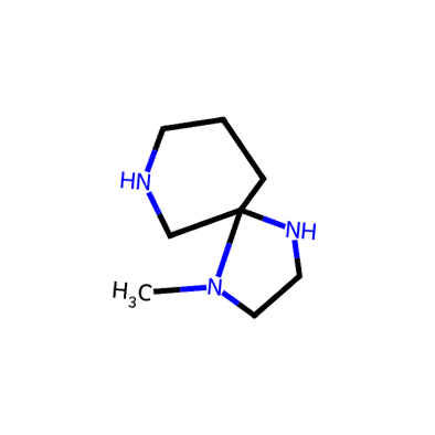 CN1CCNC12CCCNC2